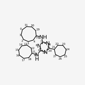 C1CCCCC(Nc2nc(NC3CCCCCCC3)nc(C3CCCCCC3)n2)CCC1